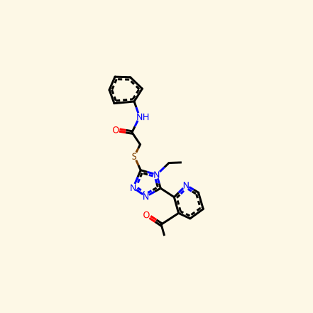 CCn1c(SCC(=O)Nc2ccccc2)nnc1-c1ncccc1C(C)=O